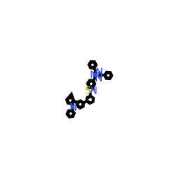 C1=c2ccc3c(c2=1)c1cc(C2=CCCC(c4nc5cc(-c6nc(-c7ccccc7)nc(-c7ccccc7)n6)ccc5s4)=C2)ccc1n3-c1ccccc1